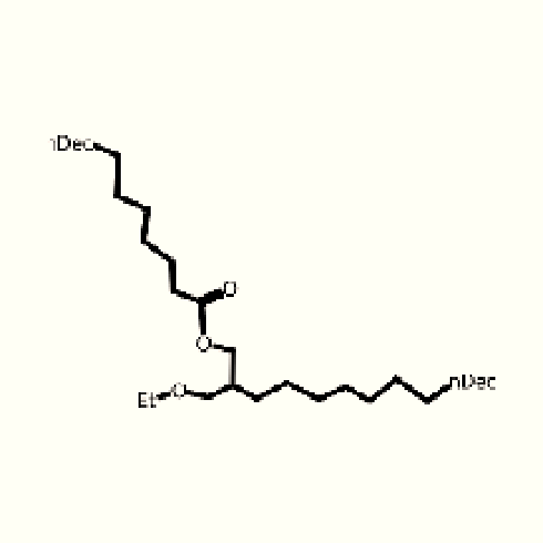 CCCCCCCCCCCCCCCCCC(COCC)COC(=O)CCCCCCCCCCCCCCCC